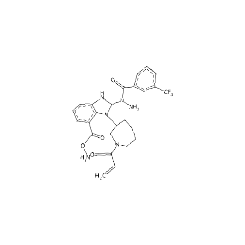 C=CC(=O)N1CCCCC(N2c3c(cccc3C(=O)ON)NC2N(N)C(=O)c2cccc(C(F)(F)F)c2)C1